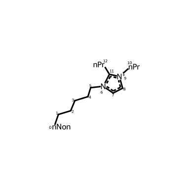 CCCCCCCCCCCCCCn1cc[n+](CCC)c1CCC